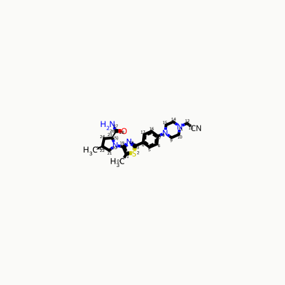 Cc1sc(-c2ccc(N3CCN(CC#N)CC3)cc2)nc1N1C[C@@H](C)C[C@H]1C(N)=O